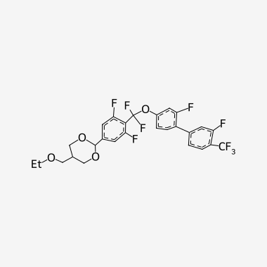 CCOCC1COC(c2cc(F)c(C(F)(F)Oc3ccc(-c4ccc(C(F)(F)F)c(F)c4)c(F)c3)c(F)c2)OC1